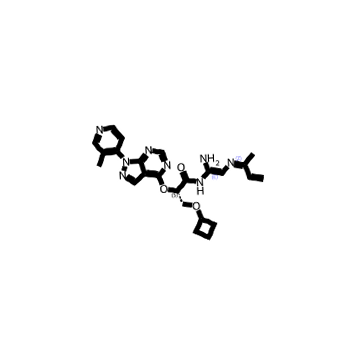 C=C/C(C)=N\C=C(/N)NC(=O)[C@H](COC1CCC1)Oc1ncnc2c1cnn2-c1ccncc1C